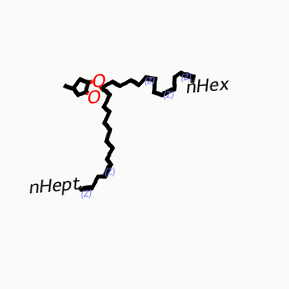 CCCCCC/C=C\C/C=C\C/C=C\CCCCC1(CCCCCCCC/C=C\C/C=C\CCCCCCC)OC2CC(C)CC2O1